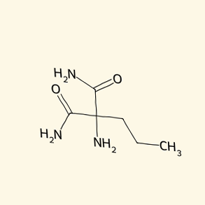 CCCC(N)(C(N)=O)C(N)=O